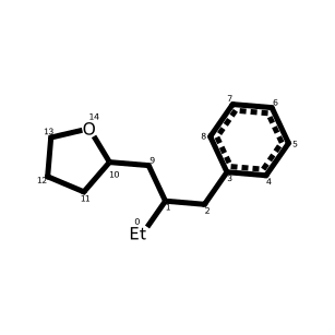 [CH2]CC(Cc1ccccc1)CC1CCCO1